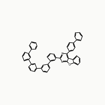 c1ccc(-c2ccc(-c3nc(-c4cccc(-c5cccc(-c6cccc(-c7cccc(-c8ccccc8)c7)c6)c5)c4)nc4oc5ccccc5c34)cc2)cc1